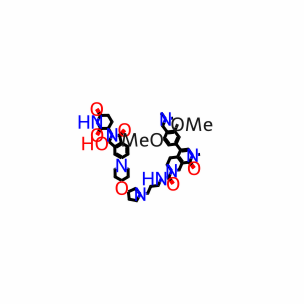 COc1cc(-c2cn(C)c(=O)c3c2CCN(C(=O)NCCCN2CCC(OC4CCN(c5ccc6c(c5)C(O)N(C5CCC(=O)NC5=O)C6=O)CC4)C2)C3)cc(OC)c1CN(C)C